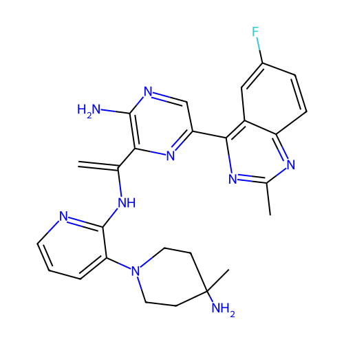 C=C(Nc1ncccc1N1CCC(C)(N)CC1)c1nc(-c2nc(C)nc3ccc(F)cc23)cnc1N